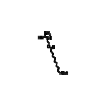 CCCCCCCC/C=C/CCCCCCCC(=O)OCCNC(=N)N